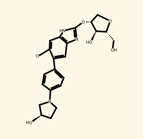 OC[C@H]1OC[C@@H](Oc2nc3cc(-c4ccc(N5CC[C@@H](O)C5)cc4)c(Cl)cc3[nH]2)[C@@H]1O